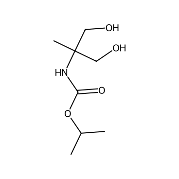 CC(C)OC(=O)NC(C)(CO)CO